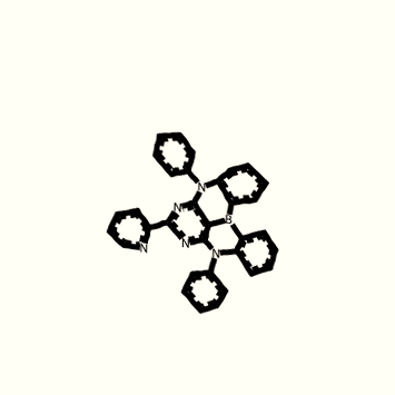 c1ccc(N2c3ccccc3B3c4ccccc4N(c4ccccc4)c4nc(-c5ccccn5)nc2c43)cc1